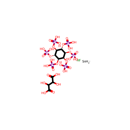 F.O=C(O)C(O)C(O)C(=O)O.O=P(O)(O)O[C@H]1[C@H](OP(=O)(O)O)[C@@H](OP(=O)(O)O)[C@H](OP(=O)(O)O)[C@@H](OP(=O)(O)O)[C@H]1OP(=O)(O)O.[SnH2]